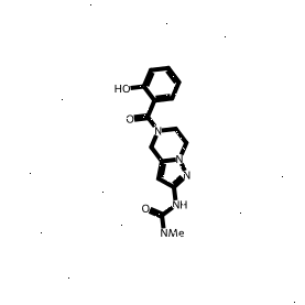 CNC(=O)Nc1cc2n(n1)CCN(C(=O)c1ccccc1O)C2